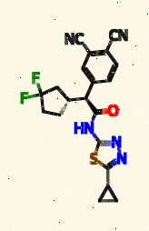 N#Cc1ccc([C@@H](C(=O)Nc2nnc(C3CC3)s2)[C@@H]2CCC(F)(F)C2)cc1C#N